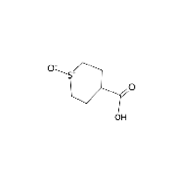 O=C(O)C1CC[S+]([O-])CC1